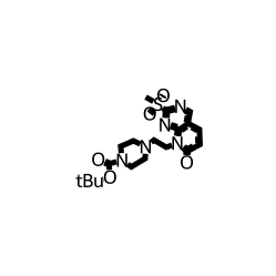 CC(C)(C)OC(=O)N1CCN(CCn2c(=O)ccc3cnc(S(C)(=O)=O)nc32)CC1